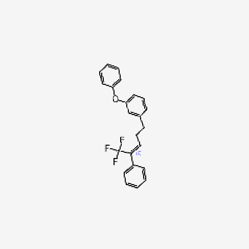 FC(F)(F)/C(=C\CCc1cccc(Oc2ccccc2)c1)c1ccccc1